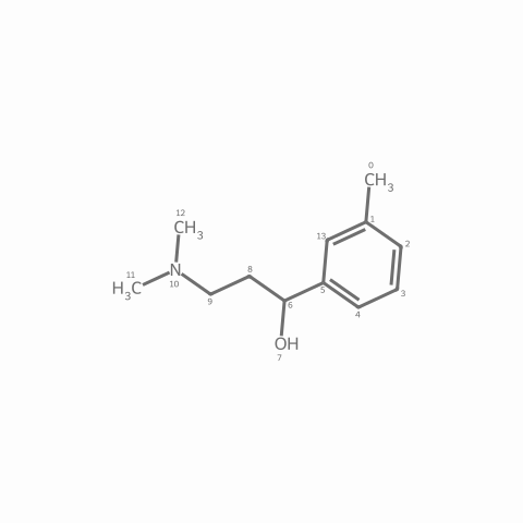 Cc1cccc(C(O)CCN(C)C)c1